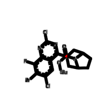 CC(C)(C)OC(=O)N1C2CCC1CN(c1nc(Cl)nc3c(F)c(Br)c(Cl)cc13)C2